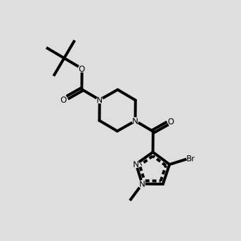 Cn1cc(Br)c(C(=O)N2CCN(C(=O)OC(C)(C)C)CC2)n1